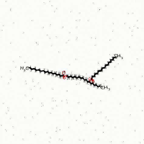 CCCCCCCCCCCCCCCCCC(=O)OCCCCCCCCCCCCC(CCCCCCC)OC(=O)CCCCCCCCCCCCCCCCC